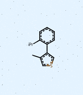 Cc1cscc1-c1ccccc1C(C)C